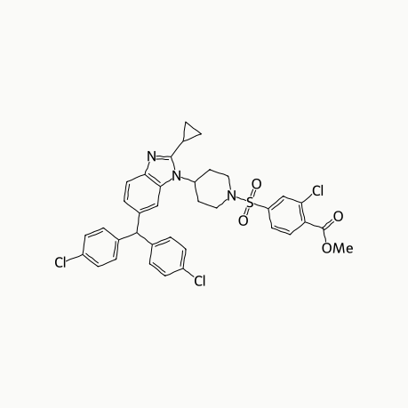 COC(=O)c1ccc(S(=O)(=O)N2CCC(n3c(C4CC4)nc4ccc(C(c5ccc(Cl)cc5)c5ccc(Cl)cc5)cc43)CC2)cc1Cl